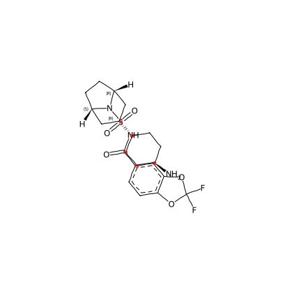 N[C@H]1CC[C@H](S(=O)(=O)N2[C@@H]3CC[C@H]2C[C@@H](NC(=O)c2ccc4c(c2)OC(F)(F)O4)C3)CC1